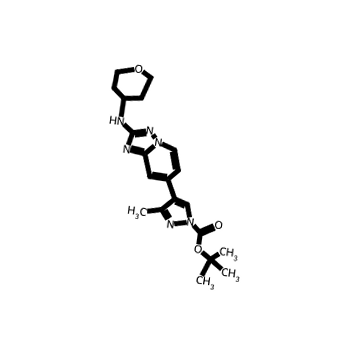 Cc1nn(C(=O)OC(C)(C)C)cc1-c1ccn2nc(NC3CCOCC3)nc2c1